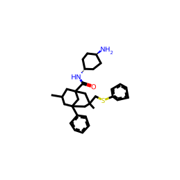 CC1CC2(C(=O)N[C@H]3CC[C@H](N)CC3)CC(C)(CSc3ccccc3)CC(c3ccccc3)(C1)C2